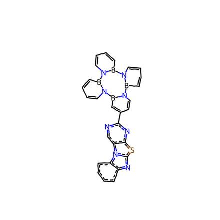 C1=CB2N(C=C1)B1C=CC=CN1B1C=C(c3ncc4c(n3)sc3nc5ccccc5n34)C=CN1B1C=CC=CN21